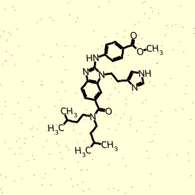 COC(=O)c1ccc(Nc2nc3ccc(C(=O)N(CCC(C)C)CCC(C)C)cc3n2CCc2c[nH]cn2)cc1